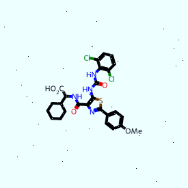 COc1ccc(-c2nc(C(=O)NC(C(=O)O)C3CCCCC3)c(NC(=O)Nc3c(Cl)cccc3Cl)s2)cc1